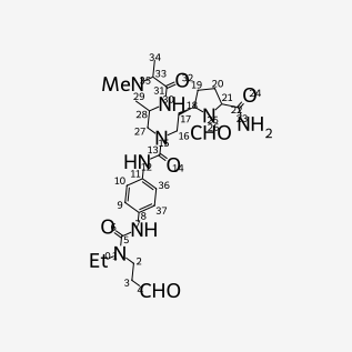 CCN(CCC=O)C(=O)Nc1ccc(NC(=O)N(CC[C@H]2CCC(C(N)=O)N2C=O)CC(C)NC(=O)C(C)NC)cc1